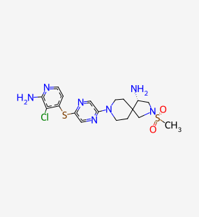 CS(=O)(=O)N1C[C@@H](N)C2(CCN(c3cnc(Sc4ccnc(N)c4Cl)cn3)CC2)C1